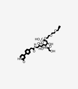 C#CCOCCOCCO[C@]1(C(=O)O)C[C@H](O)[C@@H](NC(=O)CO)[C@H]([C@H](O)[C@H](O)CNC(=O)Cc2ccc(-c3cc[nH]c(=O)c3)cc2)O1